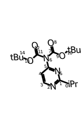 CC(C)c1nccc(N(C(=O)OC(C)(C)C)C(=O)OC(C)(C)C)n1